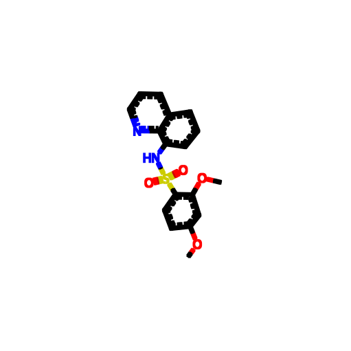 COc1ccc(S(=O)(=O)Nc2cccc3cccnc23)c(OC)c1